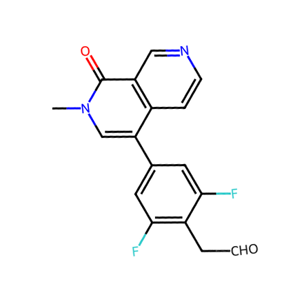 Cn1cc(-c2cc(F)c(CC=O)c(F)c2)c2ccncc2c1=O